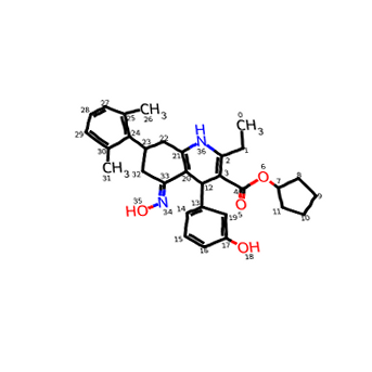 CCC1=C(C(=O)OC2CCCC2)C(c2cccc(O)c2)C2=C(CC(c3c(C)cccc3C)CC2=NO)N1